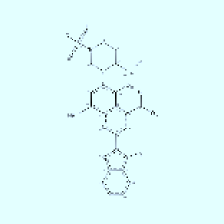 Cc1c(-c2cc(C(=O)[O-])c3c(O[C@@H](C)C4CCN(S(C)(=O)=O)CC4)ccc(C)c3n2)oc2ccccc12.[Na+]